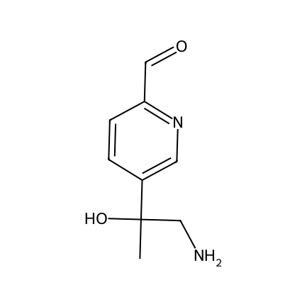 CC(O)(CN)c1ccc(C=O)nc1